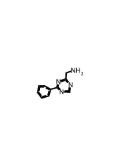 NCc1ncnc(-c2ccccc2)n1